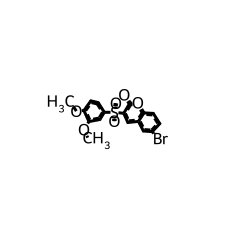 COc1ccc(S(=O)(=O)c2cc3cc(Br)ccc3oc2=O)cc1OC